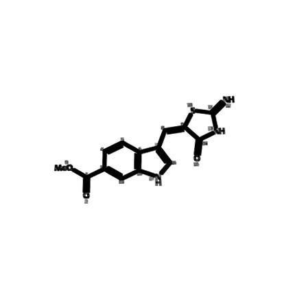 COC(=O)c1ccc2c(/C=C3/SC(=N)NC3=O)c[nH]c2c1